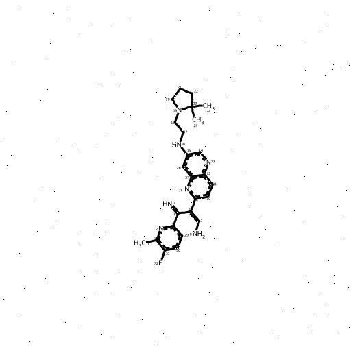 Cc1nc(C(=N)/C(=C\N)c2ccc3ncc(NCCN4CCCC4(C)C)cc3n2)ccc1F